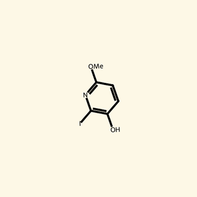 COc1ccc(O)c(I)n1